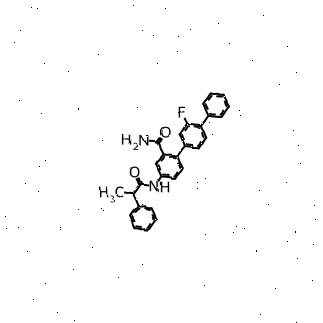 CC(C(=O)Nc1ccc(-c2ccc(-c3ccccc3)c(F)c2)c(C(N)=O)c1)c1ccccc1